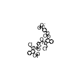 CC(=O)Oc1cc2c(c3ccccc13)C(CCl)CN2C(=O)c1ccc(C(=O)N2CC(CCl)c3c2cc(OC(=O)Oc2ccc([N+](=O)[O-])cc2)c2ccccc32)s1